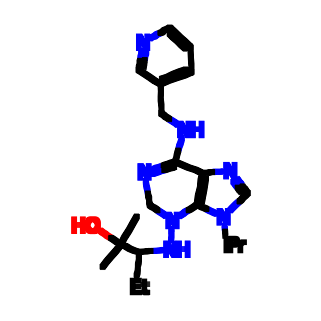 CCC(NN1CN=C(NCc2cccnc2)c2ncn(C(C)C)c21)C(C)(C)O